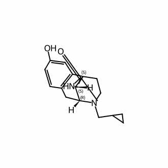 O=C1C[C@]23CCN(CC4CC4)[C@H](Cc4ccc(O)cc42)[C@@H]3CN1